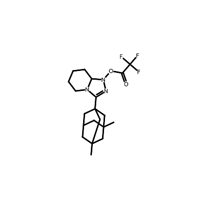 CC12CC3CC(C)(C1)CC(C1=NN(OC(=O)C(F)(F)F)C4CCCCN14)(C3)C2